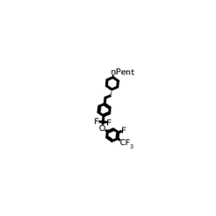 CCCCC[C@H]1CC[C@H](CCc2ccc(C(F)(F)Oc3ccc(C(F)(F)F)c(F)c3)cc2)CC1